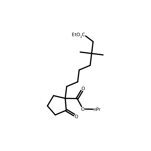 CCCOC(=O)C1(CCCCC(C)(C)CC(=O)OCC)CCCC1=O